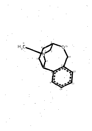 CN1CC2CCC(C1)c1ccccc1CO2